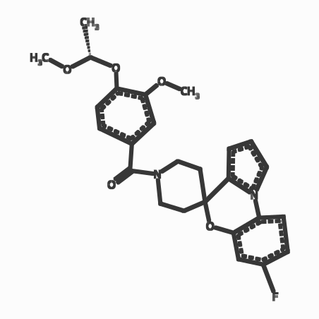 COc1cc(C(=O)N2CCC3(CC2)Oc2cc(F)ccc2-n2cccc23)ccc1O[C@@H](C)OC